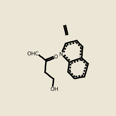 C=C.O=CC(=O)CCO.c1ccc2ncccc2c1